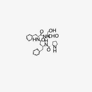 O=C[C@H](CO)NC(=O)[C@H](Cc1ccccc1)NC(=O)C[C@H](Cc1ccccc1)NC(=O)[C@@H]1CCCN1